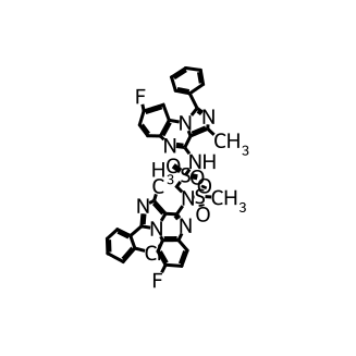 Cc1nc(-c2ccccc2)n2c1c(NS(=O)(=O)CN(c1nc3ccc(F)cc3n3c(-c4ccccc4Cl)nc(C)c13)S(C)(=O)=O)nc1ccc(F)cc12